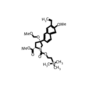 C=Cc1cc2cc([C@]3(OCOC)C[C@@H](C(=O)OC)N(C(=O)OCC[Si](C)(C)C)C3)ccc2cc1OC